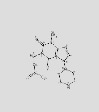 CC(=O)O.Cn1c(=O)c2c(ncn2N2CCNCC2)n(C)c1=O